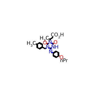 CCCOc1ccc(/N=c2\[nH]c(=O)n([C@@H](C)CC(=O)O)c(=O)n2Cc2ccc(C)cc2)cc1